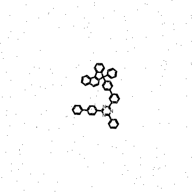 c1ccc(-c2ccc(-c3nc(-c4ccccc4)nc(-c4cccc(-c5ccc(C6(c7ccccc7)c7ccccc7-c7c6ccc6ccccc76)cc5)c4)n3)cc2)cc1